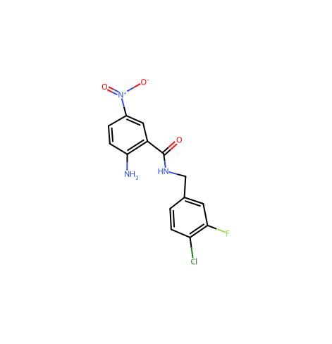 Nc1ccc([N+](=O)[O-])cc1C(=O)NCc1ccc(Cl)c(F)c1